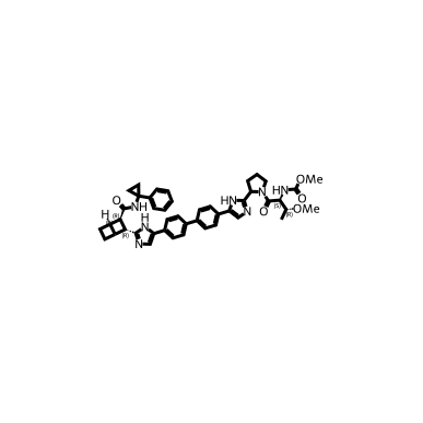 COC(=O)N[C@H](C(=O)N1CCCC1c1ncc(-c2ccc(-c3ccc(-c4cnc([C@@H]5C6CC[C@H]6[C@H]5C(=O)NC5(c6ccccc6)CC5)[nH]4)cc3)cc2)[nH]1)[C@@H](C)OC